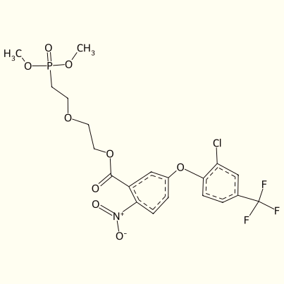 COP(=O)(CCOCCOC(=O)c1cc(Oc2ccc(C(F)(F)F)cc2Cl)ccc1[N+](=O)[O-])OC